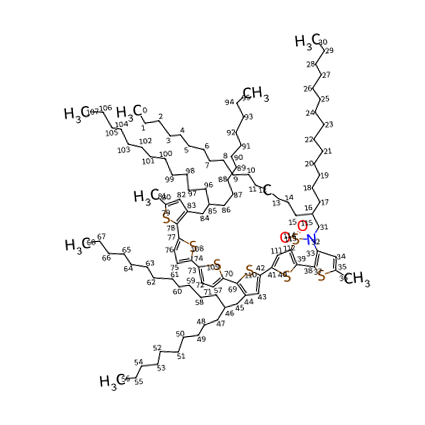 CCCCCCCCCCCCCCCCC(CCCCCCCCCCCCCC)CN1c2cc(C)sc2-c2sc(-c3cc(CC(CCCCCCCCCC)CCCCCCCCCCCC)c(-c4ccc(-c5ccc(-c6sc(C)cc6CC(CCCCCCCCCC)CCCCCCCCCCCC)s5)s4)s3)cc2S1(=O)=O